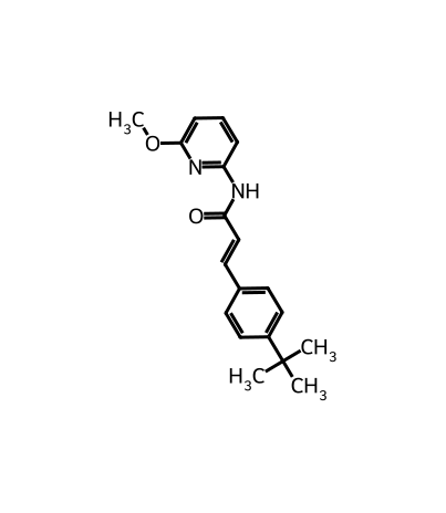 COc1cccc(NC(=O)/C=C/c2ccc(C(C)(C)C)cc2)n1